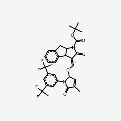 CC1=CC(O/C=C2/C(=O)N(C(=O)OC(C)(C)C)C3Cc4ccccc4C23)N(c2cc(C(F)(F)F)cc(C(F)(F)F)c2)C1=O